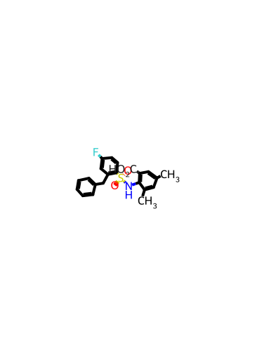 Cc1cc(C)c(NS(=O)(=O)c2ccc(F)cc2Cc2ccccc2)c(C(=O)O)c1